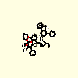 C=CC1C[PH]2(Cc3cc(-c4ccccc4)c(OC(C)(C)C)c(-c4ccccc4)c3)CCC1CC2C(Oc1nc(-c2ccccc2)nc(Cl)c1-c1ccccc1)c1ccnc2ccc(O)cc12